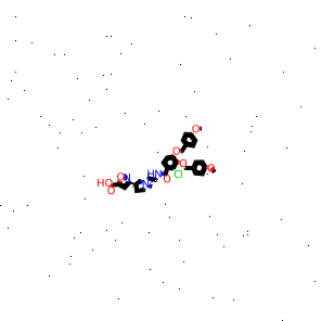 COc1ccc(COc2ccc(C(=O)NCC[N+]3(C)CC[C@@H](c4cc(C(=O)O)on4)C3)c(Cl)c2OCc2ccc(OC)cc2)cc1